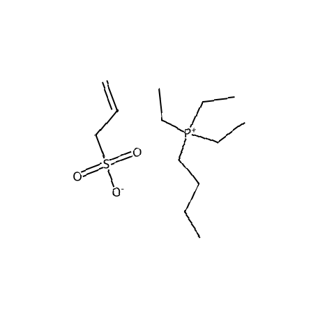 C=CCS(=O)(=O)[O-].CCCC[P+](CC)(CC)CC